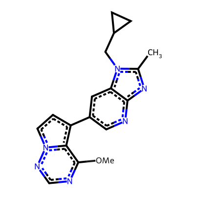 COc1ncnn2ccc(-c3cnc4nc(C)n(CC5CC5)c4c3)c12